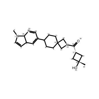 CN1C=CC2C=C(C3CCC4(CC3)CN(C(=O)[C@H]3C[C@@](C)(O)C3)C4)C=NC21